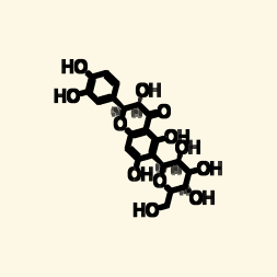 O=C1c2c(cc(O)c([C@@H]3OC(CO)[C@@H](O)C(O)[C@@H]3O)c2O)O[C@@H](c2ccc(O)c(O)c2)[C@@H]1O